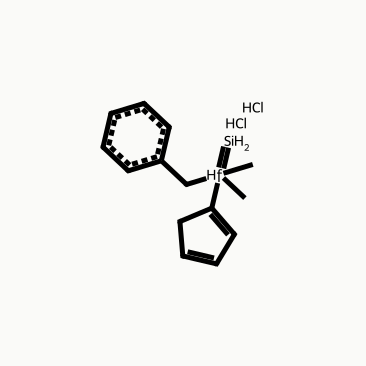 Cl.Cl.[CH3][Hf]([CH3])(=[SiH2])([CH2]c1ccccc1)[C]1=CC=CC1